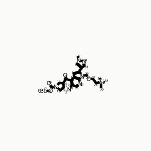 Cn1cc(-c2cc3c(C(=O)C4CCN(C(=O)OC(C)(C)C)C4)c(N)cnc3n2COCC[Si](C)(C)C)cn1